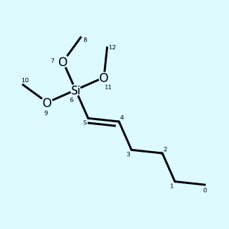 CCCCC=C[Si](OC)(OC)OC